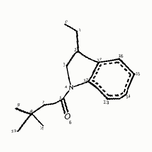 CCC1CN(C(=O)CC(C)(C)C)c2ccccc21